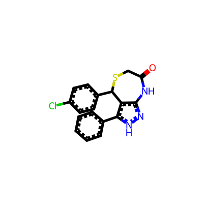 O=C1CSC(c2ccc(Cl)cc2)c2c(n[nH]c2-c2ccccc2)N1